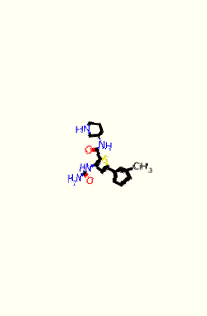 Cc1cccc(-c2cc(NC(N)=O)c(C(=O)N[C@H]3CCCNC3)s2)c1